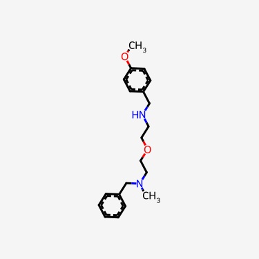 COc1ccc(CNCCOCCN(C)Cc2ccccc2)cc1